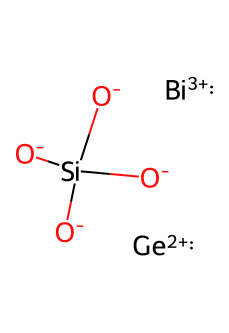 [Bi+3].[Ge+2].[O-][Si]([O-])([O-])[O-]